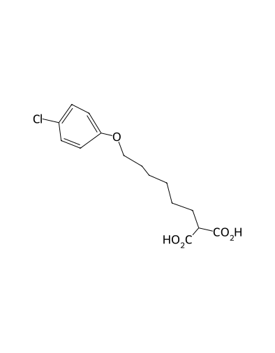 O=C(O)C(CCCCCCOc1ccc(Cl)cc1)C(=O)O